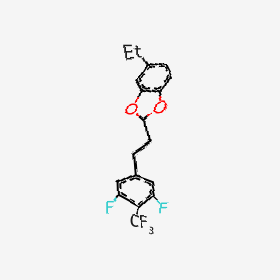 CCc1ccc2c(c1)OC(CCc1cc(F)c(C(F)(F)F)c(F)c1)O2